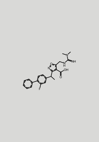 CC(c1ccc(-c2ccccc2)c(F)c1)c1noc(CNC(=N)N(C)C)c1C(=O)O